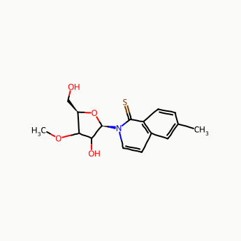 COC1C(O)[C@H](n2ccc3cc(C)ccc3c2=S)O[C@@H]1CO